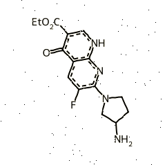 CCOC(=O)c1c[nH]c2nc(N3CCC(N)C3)c(F)cc2c1=O